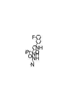 CC(C)C(NC(=O)NCCN(C)C)c1ccc(-c2ccc3cccc(F)c3c2)[nH]c1=O